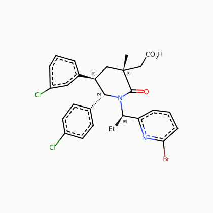 CC[C@H](c1cccc(Br)n1)N1C(=O)[C@@](C)(CC(=O)O)C[C@H](c2cccc(Cl)c2)[C@H]1c1ccc(Cl)cc1